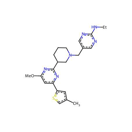 CCNc1ncc(CN2CCCC(c3nc(OC)cc(-c4cc(C)cs4)n3)C2)cn1